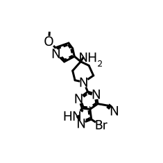 COc1ccc(C2(N)CCN(c3nc(C#N)c4c(Br)n[nH]c4n3)CC2)cn1